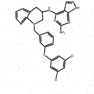 Nc1nc(NC2Cc3ccccc3N(Cc3cccc(Oc4cc(Cl)cc(Cl)c4)c3)C2)c2cn[nH]c2n1